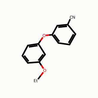 CCOc1cccc(Oc2cccc(C#N)c2)c1